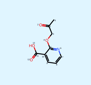 CC(=O)COc1ncccc1C(=O)O